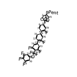 CCCCCC12COC(c3ccc(-c4ccc(-c5cc(F)c(C(F)(F)Oc6cc(F)c(F)c(F)c6)c(F)c5)c(F)c4)c(F)c3)(OC1)OC2